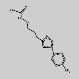 NC(=O)NOCCCc1cn(-c2ccc(C(F)(F)F)cc2)cn1